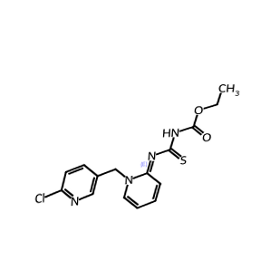 CCOC(=O)NC(=S)/N=c1\ccccn1Cc1ccc(Cl)nc1